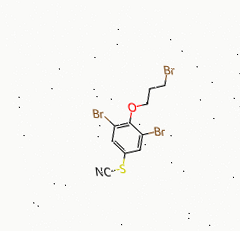 N#CSc1cc(Br)c(OCCCBr)c(Br)c1